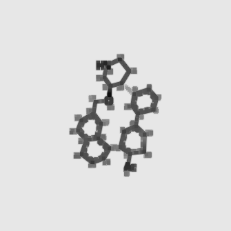 CC(=O)c1ccc(-c2cccc([C@H]3CCNC[C@@H]3OCc3ccc4ccccc4c3)c2)cc1